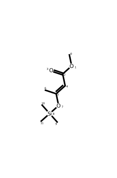 COC(=O)/C=C(\C)O[Si](C)(C)C